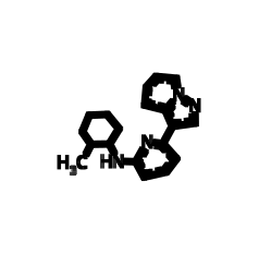 CC1CCCCC1Nc1cccc(-c2cnn3ccccc23)n1